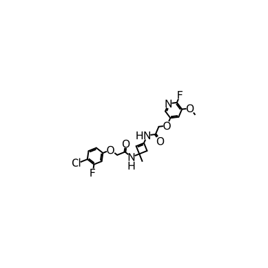 COc1cc(OCC(=O)NC2=CC(C)(NC(=O)COc3ccc(Cl)c(F)c3)C2)cnc1F